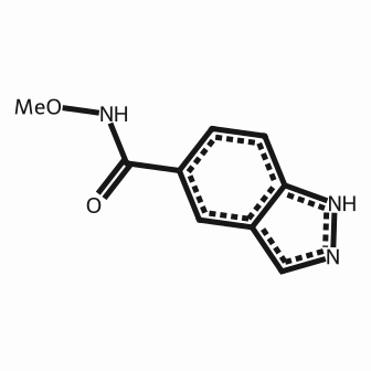 CONC(=O)c1ccc2[nH]ncc2c1